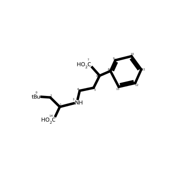 CC(C)(C)CC(NCCC(C(=O)O)c1ccccc1)C(=O)O